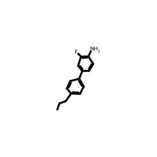 CCCc1ccc(-c2ccc(N)c(F)c2)cc1